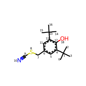 CC(C)(C)c1cc(CSC#N)cc(C(C)(C)C)c1O